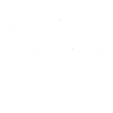 CC(C)(C)C1CCOC1C1(C)CCC(C)(C2OCCC2C(C)(C)C(C)(C)C)CCC1(C)C